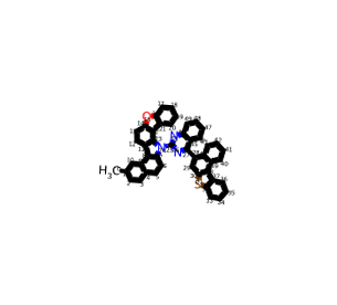 Cc1ccc2ccc3c(c2c1)c1ccc2oc4ccccc4c2c1n3-c1nc(-c2cc3sc4ccccc4c3c3ccccc23)c2ccccc2n1